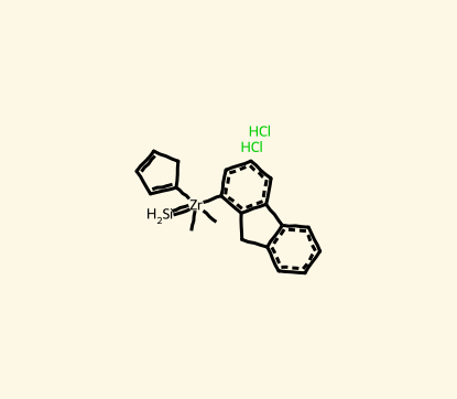 Cl.Cl.[CH3][Zr]([CH3])(=[SiH2])([C]1=CC=CC1)[c]1cccc2c1Cc1ccccc1-2